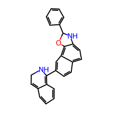 C1=c2ccccc2=C(c2ccc3ccc4c(c3c2)OC(c2ccccc2)N4)NC1